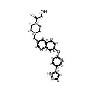 O=C(CO)N1CCN(Cc2cnc3cc(Oc4ccc(-c5ccn[nH]5)cn4)ccc3c2)CC1